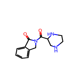 O=C1c2ccccc2CN1C(=O)C1CNCCN1